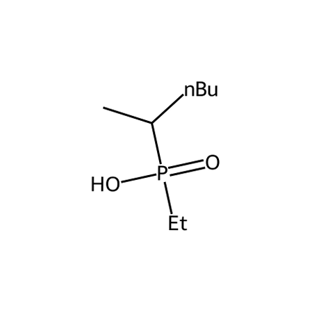 CCCCC(C)P(=O)(O)CC